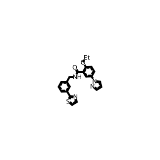 CCOc1ccc(-n2cccn2)cc1C(=O)NCc1cccc(-c2nccs2)c1